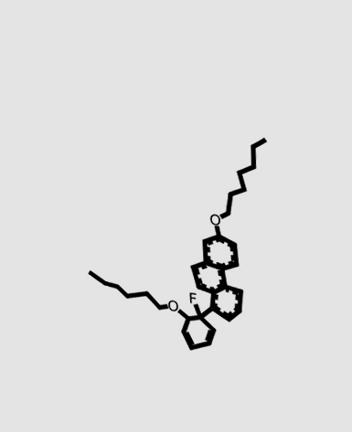 CCCCCCCOc1ccc2c(ccc3c(C4(F)C=CC=CC4OCCCCCC)cccc32)c1